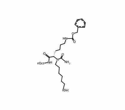 CCCCCCCCCCCCCCCCN(C(N)=O)[C@@H](CCCCNC(=O)OCc1ccccc1)C(=O)NCCCCCCCC